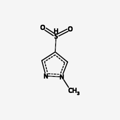 Cn1cc([SH](=O)=O)cn1